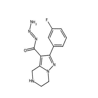 NN=NC(=O)c1c(-c2cccc(F)c2)nn2c1CNCC2